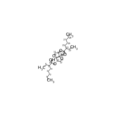 CCCCCC(CC)C(=O)O[C@H]1CO[C@H]2[C@@H]1OC[C@H]2OC(=O)C(CC)CCCCC